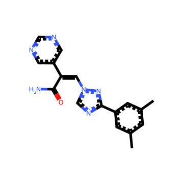 Cc1cc(C)cc(-c2ncn(/C=C(\C(N)=O)c3cncnc3)n2)c1